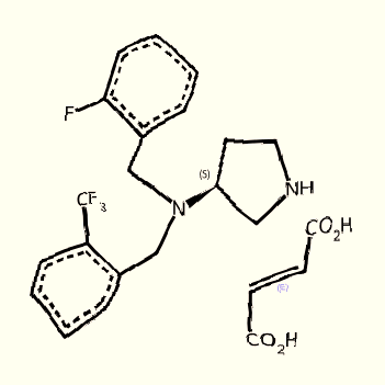 Fc1ccccc1CN(Cc1ccccc1C(F)(F)F)[C@H]1CCNC1.O=C(O)/C=C/C(=O)O